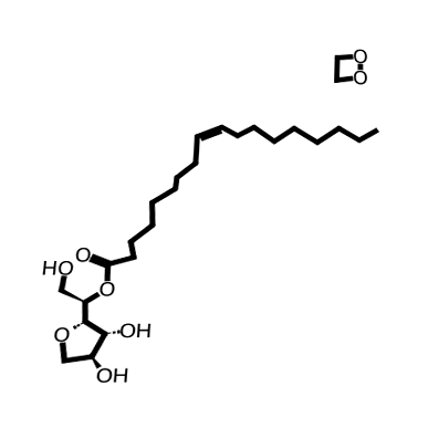 C1COO1.CCCCCCCC/C=C\CCCCCCCC(=O)O[C@H](CO)[C@H]1OC[C@H](O)[C@H]1O